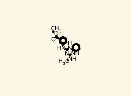 CCOC(=O)c1cccc(NC2=NC(NC)NC3(CCCCC3)N2)c1